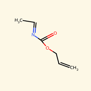 C=CCOC(=O)N=CC